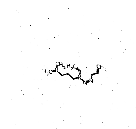 C=CC/N=N\N(C=C)CCCN(C)C